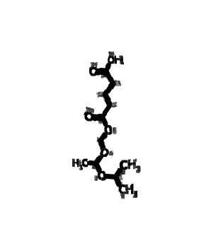 CC(C)OC(C)OCOC(=O)CCCC(=O)O